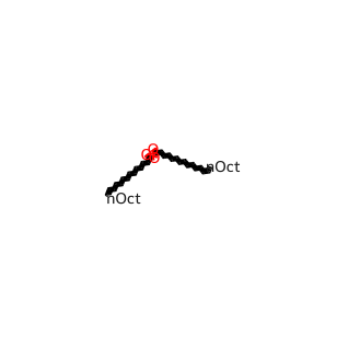 CCCCCCCC/C=C\CCCCCCCCCCCC(=O)OC(=O)CCCCCCCCCCC/C=C\CCCCCCCC